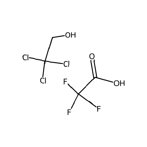 O=C(O)C(F)(F)F.OCC(Cl)(Cl)Cl